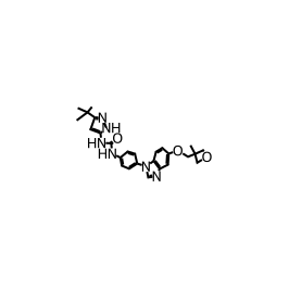 CC1(COc2ccc3c(c2)ncn3-c2ccc(NC(=O)Nc3cc(C(C)(C)C)n[nH]3)cc2)COC1